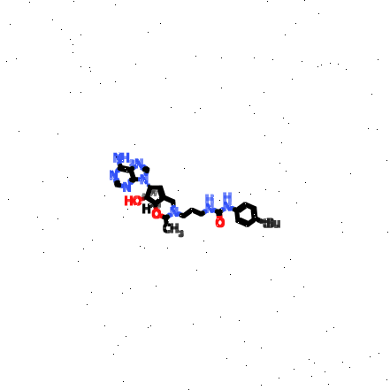 CC1O[C@@H]2C(=C[C@@H](n3cnc4c(N)ncnc43)[C@@H]2O)CN1CCCNC(=O)Nc1ccc(C(C)(C)C)cc1